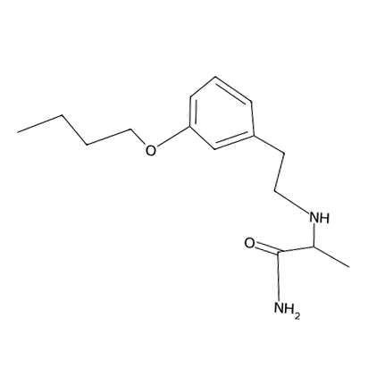 CCCCOc1cccc(CCNC(C)C(N)=O)c1